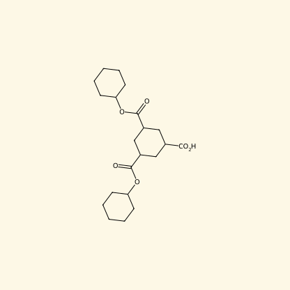 O=C(O)C1CC(C(=O)OC2CCCCC2)CC(C(=O)OC2CCCCC2)C1